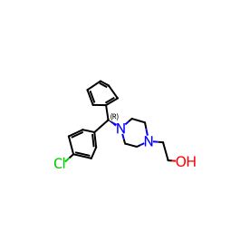 OCCN1CCN([C@H](c2ccccc2)c2ccc(Cl)cc2)CC1